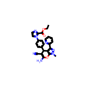 CCOC(=O)c1nccn1-c1ccc(C2C(C#N)=C(N)Oc3c2c(-c2ccccn2)nn3C)cc1